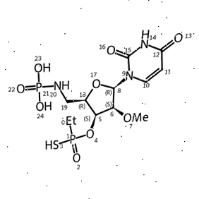 CCP(=O)(S)O[C@@H]1[C@H](OC)[C@H](n2ccc(=O)[nH]c2=O)O[C@@H]1CNP(=O)(O)O